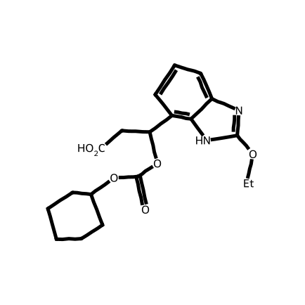 CCOc1nc2cccc(C(CC(=O)O)OC(=O)OC3CCCCC3)c2[nH]1